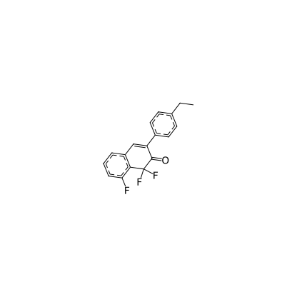 CCc1ccc(C2=Cc3cccc(F)c3C(F)(F)C2=O)cc1